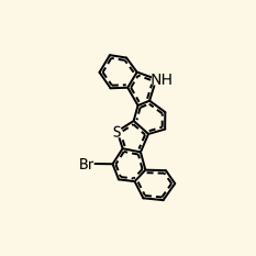 Brc1cc2ccccc2c2c1sc1c2ccc2[nH]c3ccccc3c21